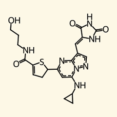 O=C1NC(=O)/C(=C/c2cnn3c(NC4CC4)cc(C4CC=C(C(=O)NCCCO)S4)nc23)N1